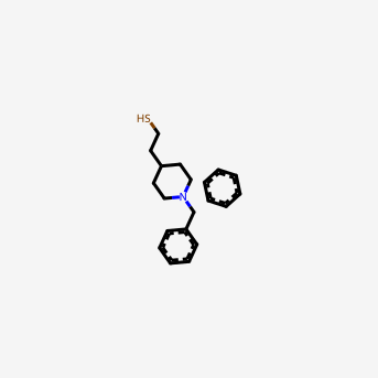 SCCC1CCN(Cc2ccccc2)CC1.c1ccccc1